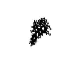 CC1(C)Cc2nc(Cl)c(C(O)c3ccc(C(F)(F)F)cc3)c(C3CCCC3)c2C(O[Si](C)(C)C(C)(C)C)C1